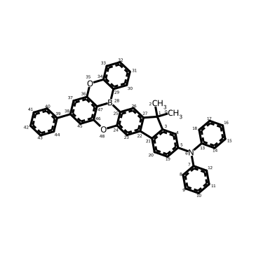 CC1(C)c2cc(N(c3ccccc3)c3ccccc3)ccc2-c2cc3c(cc21)B1c2ccccc2Oc2cc(-c4ccccc4)cc(c21)O3